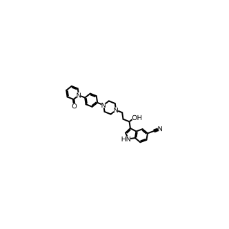 N#Cc1ccc2[nH]cc(C(O)CCN3CCN(c4ccc(-n5ccccc5=O)cc4)CC3)c2c1